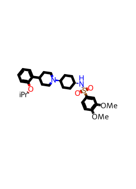 COc1ccc(S(=O)(=O)N[C@H]2CC[C@H](N3CCC(c4ccccc4OC(C)C)CC3)CC2)cc1OC